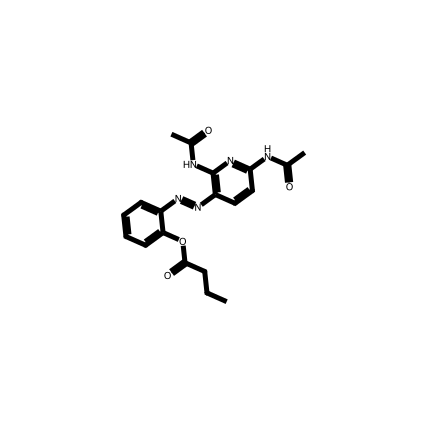 CCCC(=O)Oc1ccccc1/N=N/c1ccc(NC(C)=O)nc1NC(C)=O